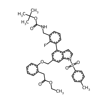 CCOC(=O)Cc1ccccc1OCc1cc(-c2cccc(CNC(=O)OC(C)(C)C)c2F)c2ccn(S(=O)(=O)c3ccc(C)cc3)c2c1